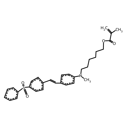 C=C(C)C(=O)OCCCCCCN(C)c1ccc(C=Cc2ccc(S(=O)(=O)c3ccccc3)cc2)cc1